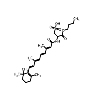 CCCCOC(=O)[C@H](CS(=O)(=O)O)NC(=O)/C=C(C)/C=C/C=C(C)/C=C/C1=C(C)CCCC1(C)C